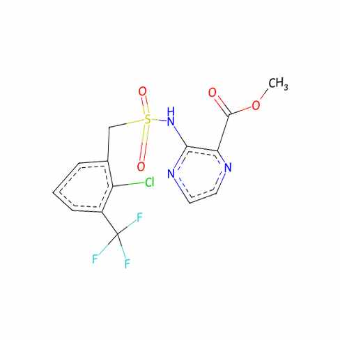 COC(=O)c1nccnc1NS(=O)(=O)Cc1cccc(C(F)(F)F)c1Cl